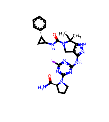 CC1(C)c2[nH]nc(Nc3nc(I)nc(N4CCC[C@H]4C(N)=O)n3)c2CN1C(=O)NC1C[C@@H]1c1ccccc1